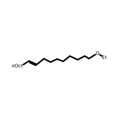 CCCCCCCCC=CCCCCCCCCOCC